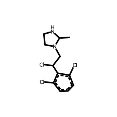 CC1NCCN1CC(Cl)c1c(Cl)cccc1Cl